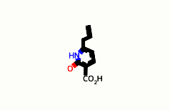 C=CCc1ccc(C(=O)O)c(=O)[nH]1